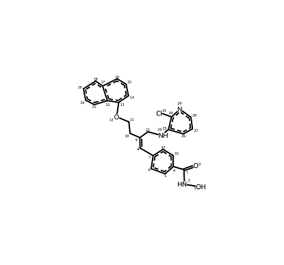 O=C(NO)c1ccc(/C=C(/CCOc2cccc3ccccc23)CNc2cccnc2Cl)cc1